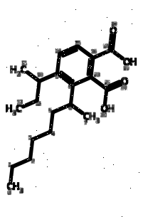 CCCCCCC(C)c1c(C(C)CC)ccc(C(=O)O)c1C(=O)O